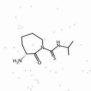 CC(C)NC(=S)N1CCCC[C@@H](N)C1=O